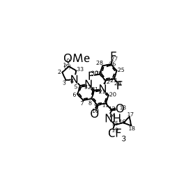 CO[C@H]1CCN(c2ccc3c(=O)c(C(=O)NC(C4CC4)C(F)(F)F)cn(-c4c(F)cc(F)cc4F)c3n2)C1